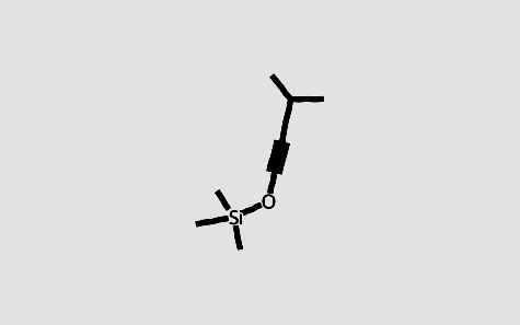 CC(C)C#CO[Si](C)(C)C